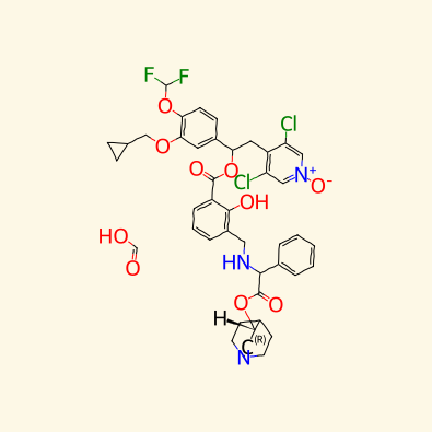 O=C(OC(Cc1c(Cl)c[n+]([O-])cc1Cl)c1ccc(OC(F)F)c(OCC2CC2)c1)c1cccc(CNC(C(=O)O[C@H]2CN3CCC2CC3)c2ccccc2)c1O.O=CO